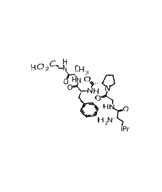 CC(C)C[C@H](N)C(=O)NCC(=O)N1CCC[C@H]1C(=O)N[C@@H](Cc1ccccc1)C(=O)N[C@@H](C)C(=O)NCC(=O)O